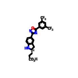 O=C(O)CC[C@H]1Cc2cc(-c3noc(-c4cc(C(F)(F)F)cc(C(F)(F)F)c4)n3)ccc2N1